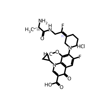 COc1c(N2CCC/C(=C(\F)CNC(=O)[C@H](C)N)C2)c(F)cc2c(=O)c(C(=O)O)cn(C3CC3)c12.Cl